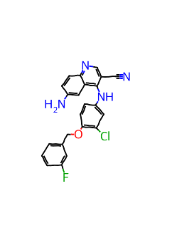 N#Cc1cnc2ccc(N)cc2c1Nc1ccc(OCc2cccc(F)c2)c(Cl)c1